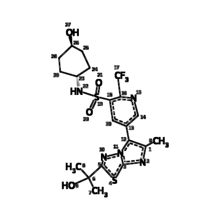 Cc1nc2sc(C(C)(C)O)nn2c1-c1cnc(C(F)(F)F)c(S(=O)(=O)N[C@H]2CC[C@H](O)CC2)c1